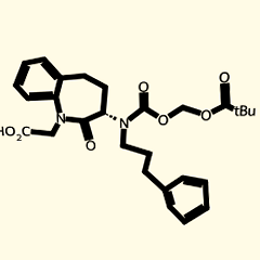 CC(C)(C)C(=O)OCOC(=O)N(CCCc1ccccc1)[C@H]1CCc2ccccc2N(CC(=O)O)C1=O